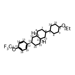 CCOC1CCC(C2CC[C@@H]3C[C@H](c4ccc(OC(F)(F)F)cc4)CC[C@@H]3C2)CC1